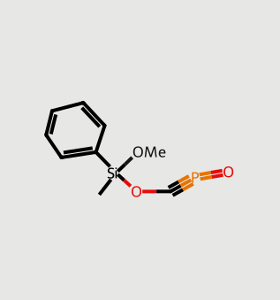 CO[Si](C)(OC#P=O)c1ccccc1